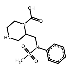 CS(=O)(=O)N(CC1CNCCN1C(=O)O)c1ccccc1